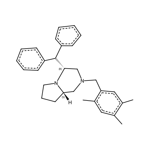 Cc1cc(C)c(CN2C[C@@H]3CCCN3[C@H](C(c3ccccc3)c3ccccc3)C2)cc1C